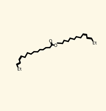 CC/C=C/C=C\CCCCCCCCCC(=O)OCCCCCCCC/C=C\C=C\CC